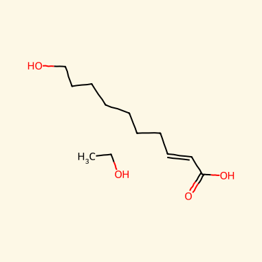 CCO.O=C(O)C=CCCCCCCCO